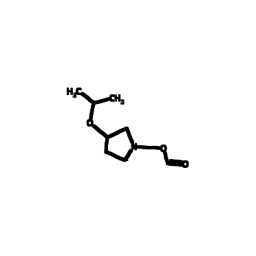 CC(C)OC1C[CH]N(OC=O)C1